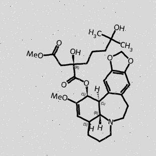 COC(=O)C[C@](O)(CCCC(C)(C)O)C(=O)O[C@@H]1C(OC)=C[C@@H]2CCCN3CCc4cc5c(cc4[C@H]1[C@@H]23)OCO5